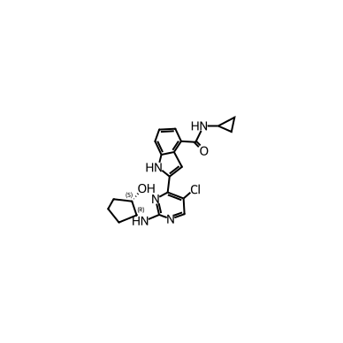 O=C(NC1CC1)c1cccc2[nH]c(-c3nc(N[C@@H]4CCC[C@@H]4O)ncc3Cl)cc12